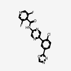 O=C(Nc1cnc(-c2cc(-c3nnco3)ccc2Cl)cn1)c1c(F)cncc1F